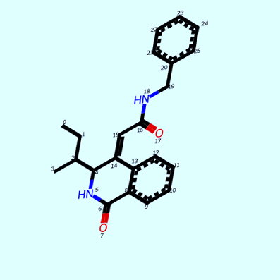 CCC(C)C1NC(=O)c2ccccc2C1=CC(=O)NCc1ccccc1